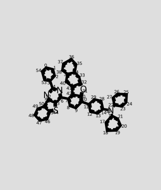 c1ccc(-c2nc(-c3ccc(-c4ccc(N(c5ccccc5)c5ccccc5)cc4)c4oc5cc6ccccc6cc5c34)c3sc4ccccc4c3n2)cc1